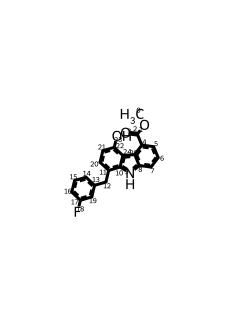 COC(=O)c1cccc2[nH]c3c(Cc4cccc(F)c4)ccc(O)c3c12